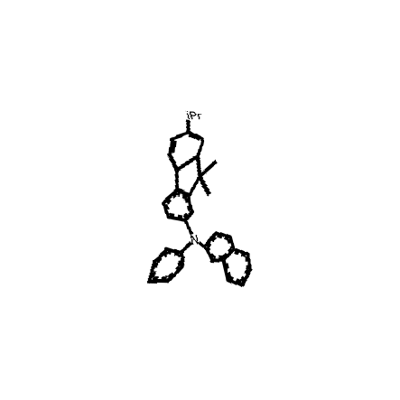 CC(C)C1=CC2C(C=C1)c1ccc(N(c3ccccc3)c3ccc4ccccc4c3)cc1C2(C)C